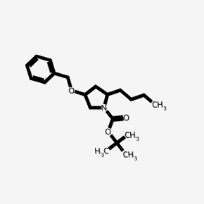 CCCCC1CC(OCc2ccccc2)CN1C(=O)OC(C)(C)C